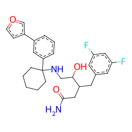 NC(=O)CC(Cc1cc(F)cc(F)c1)C(O)CNC1(c2cccc(-c3ccoc3)c2)CCCCC1